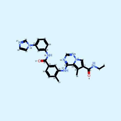 CCNC(=O)c1cn2ncnc(Nc3cc(C(=O)Nc4cccc(-n5ccnc5)c4)ccc3C)c2c1C